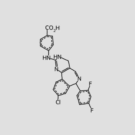 O=C(O)c1ccc(NC2=NC3=C(C=NC(c4ccc(F)cc4F)c4cc(Cl)ccc43)CN2)cc1